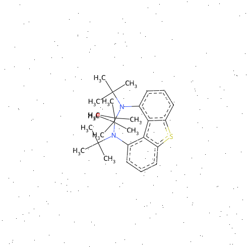 CC(C)(C)N(c1cccc2sc3cccc(N(C(C)(C)C)C(C)(C)C)c3c12)C(C)(C)C